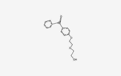 O=c1c(-c2ccccc2)c1-c1ccc(OCCOCCO)cc1